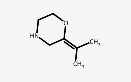 CC(C)=C1CNCCO1